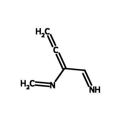 C=C=C(C=N)N=C